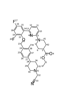 CCOC(=O)C1CCN(c2cccc(-c3cc(F)cc(F)c3OCc3ccc(C4CCN(CC#N)CC4)cc3C)n2)CC1